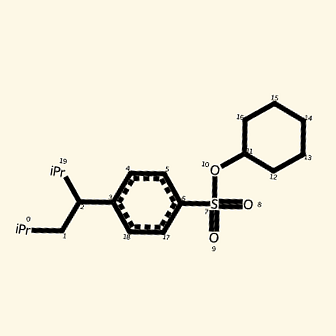 CC(C)CC(c1ccc(S(=O)(=O)OC2CCCCC2)cc1)C(C)C